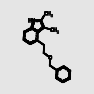 Cc1[nH]c2cccc(CCOCc3ccccc3)c2c1C